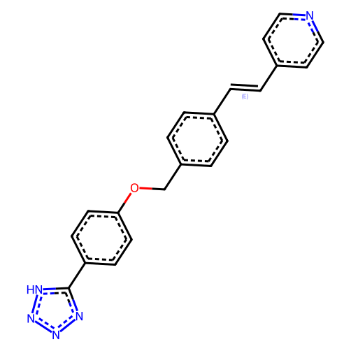 C(=C\c1ccc(COc2ccc(-c3nnn[nH]3)cc2)cc1)/c1ccncc1